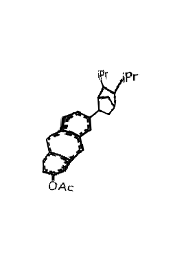 CC(=O)Oc1ccc2cc3ccc(C4CC5CC4C(C(C)C)C5C(C)C)cc3cc2c1